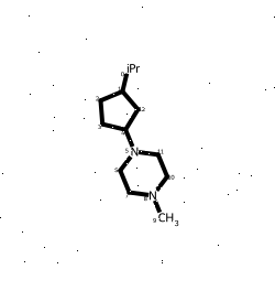 CC(C)C1CCC(N2CCN(C)CC2)C1